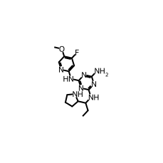 CCC(Nc1nc(N)nc(Nc2cc(F)c(OC)cn2)n1)C1CCCN1